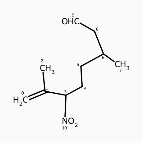 C=C(C)C(CCC(C)CC=O)[N+](=O)[O-]